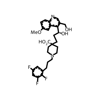 COc1ccc2ncc(CO)c([C@@H](O)CCC3(C(=O)O)CCN(CCCc4cc(F)cc(F)c4F)CC3)c2c1